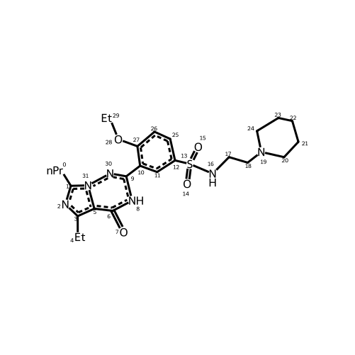 CCCc1nc(CC)c2c(=O)[nH]c(-c3cc(S(=O)(=O)NCCN4CCCCC4)ccc3OCC)nn12